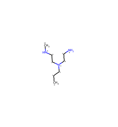 CCCN(CCN)CCNC